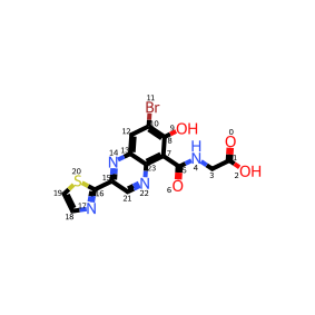 O=C(O)CNC(=O)c1c(O)c(Br)cc2nc(-c3nccs3)cnc12